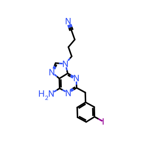 N#CCCCn1cnc2c(N)nc(Cc3cccc(I)c3)nc21